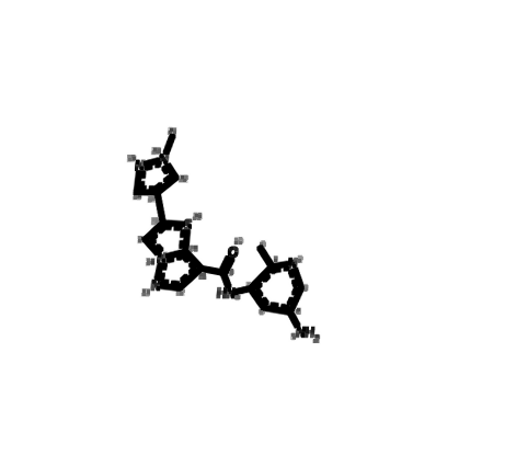 Cc1ncc(N)cc1NC(=O)c1cnn2cc(-c3cnn(C)c3)sc12